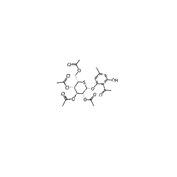 CC(=O)OC[C@@H]1S[C@H](Oc2cc(C)cc(O)c2C(C)=O)[C@H](OC(C)=O)[C@@H](OC(C)=O)[C@@H]1OC(C)=O